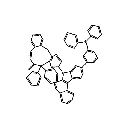 C=C1/C=C\c2ccccc2Cc2ccc(-n3c4cc(-c5cccc(N(c6ccccc6)c6ccccc6)c5)ccc4c4c5ccccc5ccc43)cc2C1(c1ccccc1)c1ccccc1